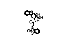 O=C(CCn1c(=O)sc2ccccc21)N[C@@H](Cc1csc2ccccc12)B(O)O